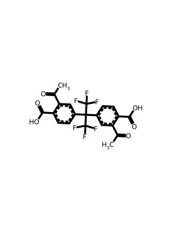 CC(=O)c1cc(C(c2ccc(C(=O)O)c(C(C)=O)c2)(C(F)(F)F)C(F)(F)F)ccc1C(=O)O